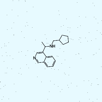 CC(NCC1CCCC1)c1cncc2ccccc12